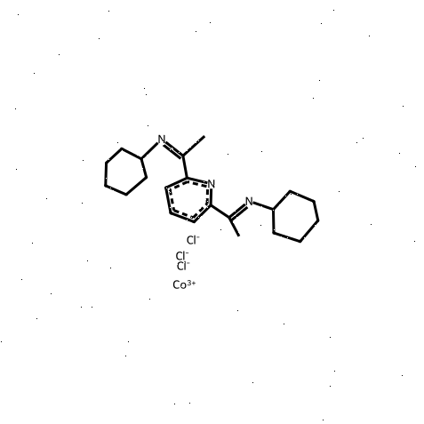 CC(=NC1CCCCC1)c1cccc(C(C)=NC2CCCCC2)n1.[Cl-].[Cl-].[Cl-].[Co+3]